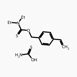 C=Cc1ccc(COC(=S)N(CC)CC)cc1.NC(O)=S